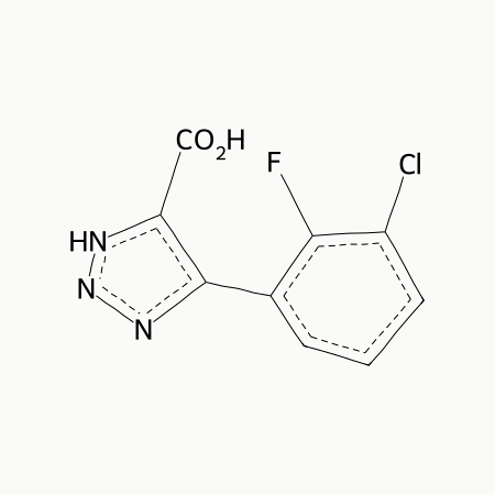 O=C(O)c1[nH]nnc1-c1cccc(Cl)c1F